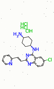 Cl.Cl.Cl.N[C@H]1CC[C@@H](Nc2nc(C=Cc3ccccn3)nc3ccc(Cl)cc23)CC1